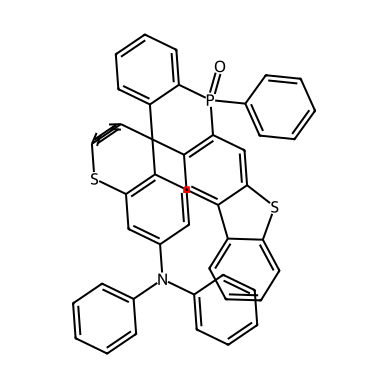 O=P1(c2ccccc2)c2ccccc2C2(c3ccccc3Sc3cc(N(c4ccccc4)c4ccccc4)ccc32)c2cc3c(cc21)sc1ccccc13